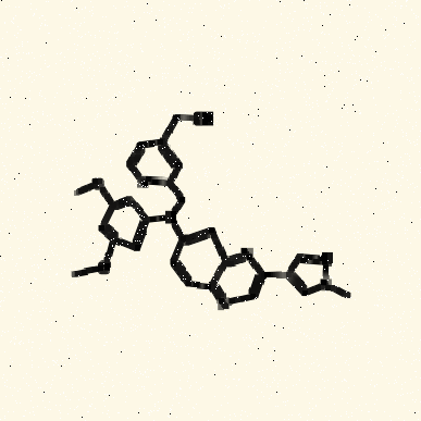 COc1cc(OC)cc(N(Cc2cc(CO)ccn2)c2ccc3ncc(-c4cnn(C)c4)nc3c2)c1